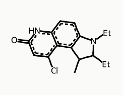 CCC1C(C)c2c(ccc3[nH]c(=O)cc(Cl)c23)N1CC